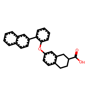 O=C(O)C1CCc2ccc(Oc3ccccc3-c3ccc4ccccc4c3)cc2C1